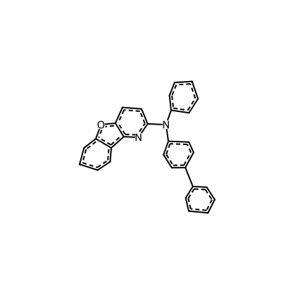 c1ccc(-c2ccc(N(c3ccccc3)c3ccc4oc5ccccc5c4n3)cc2)cc1